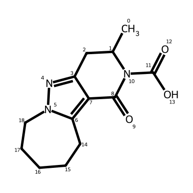 CC1Cc2nn3c(c2C(=O)N1C(=O)O)CCCCC3